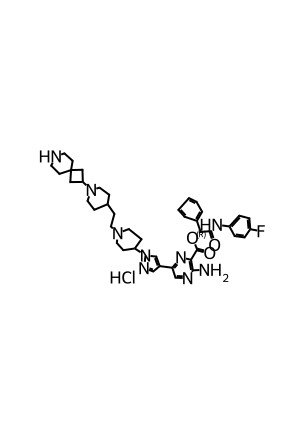 Cl.Nc1ncc(-c2cnn(C3CCN(CCC4CCN(C5CC6(CCNCC6)C5)CC4)CC3)c2)nc1C(=O)O[C@@H](C(=O)Nc1ccc(F)cc1)c1ccccc1